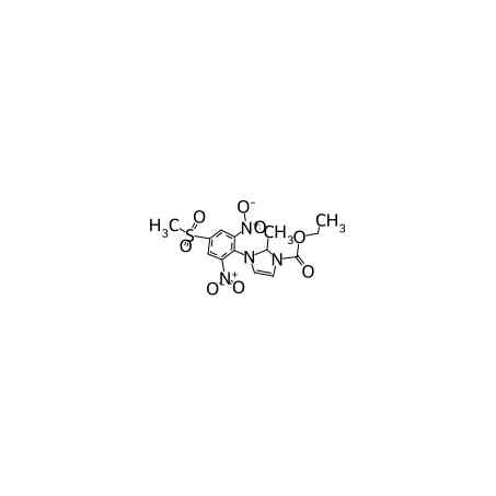 CCOC(=O)N1C=CN(c2c([N+](=O)[O-])cc(S(C)(=O)=O)cc2[N+](=O)[O-])C1C